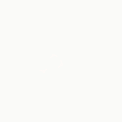 C=CCOC1COC(CCCCCC)OC1